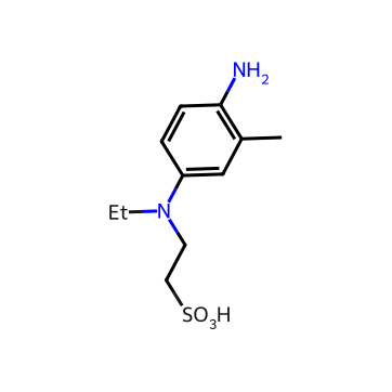 CCN(CCS(=O)(=O)O)c1ccc(N)c(C)c1